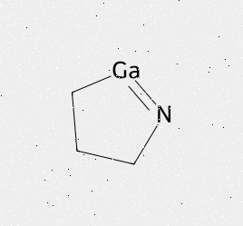 C1C[N]=[Ga][CH2]1